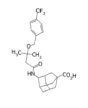 CC(C)(CC(=O)NC1C2CC3CC1CC(C(=O)O)(C3)C2)OCc1ccc(C(F)(F)F)cc1